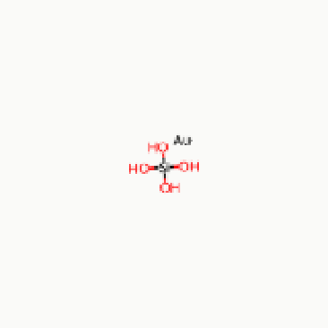 O[Si](O)(O)O.[Au]